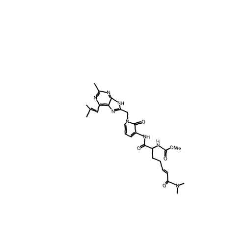 COC(=O)NC(CC/C=C/C(=O)N(C)C)C(=O)Nc1cccn(Cc2nc3c(C=C(C)C)nc(C)nc3[nH]2)c1=O